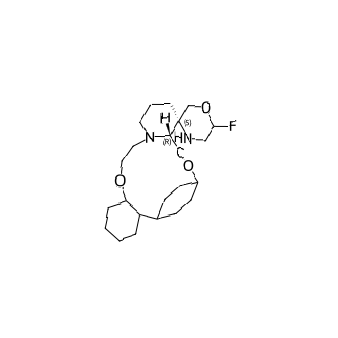 FC1CN[C@]2(CCCN3CCOC4CCCCC4C4CCC(CC4)OC[C@H]32)CO1